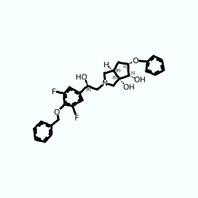 O[C@@H](CN1C[C@H]2C[C@H](Oc3ccccc3)[C@H](O)[C@@]2(O)C1)c1cc(F)c(OCc2ccccc2)c(F)c1